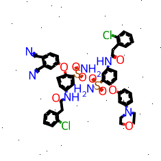 N#Cc1ccc(Oc2ccc(NC(=O)Cc3ccccc3Cl)cc2S(N)(=O)=O)cc1C#N.NS(=O)(=O)c1cc(NC(=O)Cc2ccccc2Cl)ccc1Oc1cccc(N2CCOCC2)c1